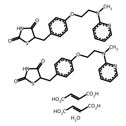 CN(CCOc1ccc(CC2SC(=O)NC2=O)cc1)c1ccccn1.CN(CCOc1ccc(CC2SC(=O)NC2=O)cc1)c1ccccn1.O.O=C(O)C=CC(=O)O.O=C(O)C=CC(=O)O